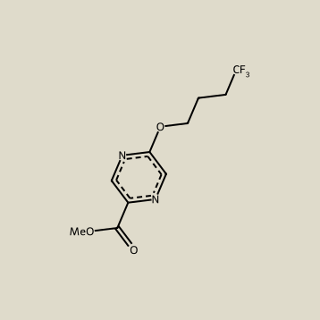 COC(=O)c1cnc(OCCCC(F)(F)F)cn1